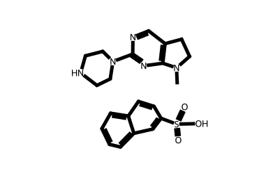 CN1CCc2cnc(N3CCNCC3)nc21.O=S(=O)(O)c1ccc2ccccc2c1